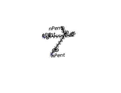 CCCCC/C=C\COC(=O)CCCCCCCCC(CCCCCCCCC(=O)OC/C=C\CCCCC)N(CCCN1CCCC1)C(=O)CCSSCCCCC